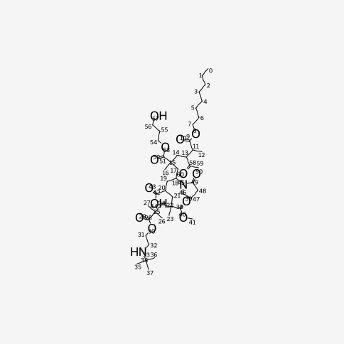 CCCCCCCCOC(=O)C(C)C(CC(C)(CC(CC(CC(C)(CC(C)(C)C(=O)OCCNC(C)(C)C)C(=O)OC)C(=O)O)N1CCCC1=O)C(=O)OCCCO)C(C)=O